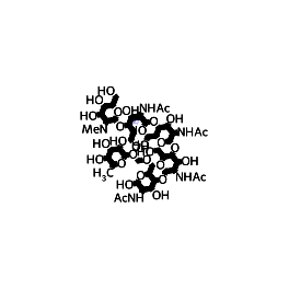 CNC1C(OC(CCO)/C(O)=C(/NC(C)=O)C(O)OC2C(CO)OC(OC3C(CO)OC(OC4C(COCOC5OC(C)C(O)C(O)C5O)OC(O)C(NC(C)=O)C4O)C(NC(C)=O)C3O)C(NC(C)=O)C2O)OC(CO)C(O)C1O